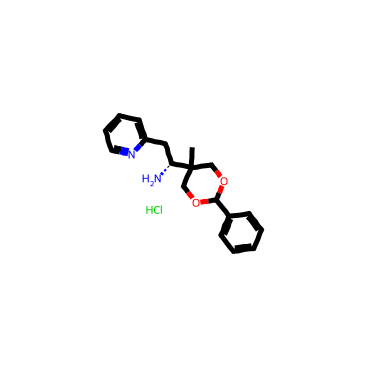 CC1([C@H](N)Cc2ccccn2)COC(c2ccccc2)OC1.Cl